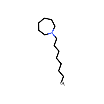 CCCCCCCCN1CCCCCC1